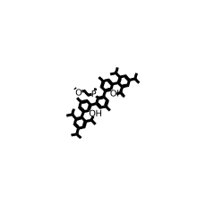 COCCP(C)c1c(-c2cc(C)cc(-c3c(C(C)C)cc(C(C)C)cc3C(C)C)c2O)cc(C)cc1-c1cc(C)cc(-c2c(C(C)C)cc(C(C)C)cc2C(C)C)c1O